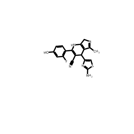 CC1=NCC2=C1C(c1csc(N)n1)C(C#N)=C(c1ccc(O)cc1F)N2